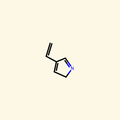 C=CC1=CCN=C1